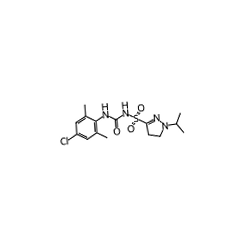 Cc1cc(Cl)cc(C)c1NC(=O)NS(=O)(=O)C1=NN(C(C)C)CC1